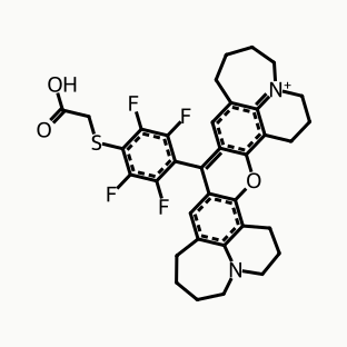 O=C(O)CSc1c(F)c(F)c(C2=c3cc4c5c(c3Oc3c2cc2c6c3CCCN6CCCC2)CCC[N+]=5CCCC4)c(F)c1F